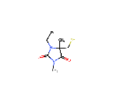 CC(C)CN1C(=O)N(C)C(=O)C1(C)CS